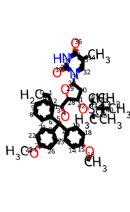 C=CC[C@H](OC(c1ccccc1)(c1ccc(OC)cc1)c1ccc(OC)cc1)[C@H]1O[C@@H](n2cc(C)c(=O)[nH]c2=O)C[C@@H]1O[Si](C)(C)C(C)(C)C